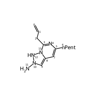 C=CCC1=NC(CCCCC)=CC2=CN(N)NN21